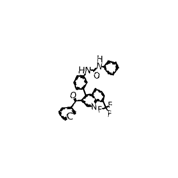 O=C(Nc1ccccc1)Nc1cccc(-c2c(C(=O)c3ccccc3)cnc3c(C(F)(F)F)cccc23)c1